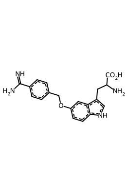 N=C(N)c1ccc(COc2ccc3[nH]cc(CC(N)C(=O)O)c3c2)cc1